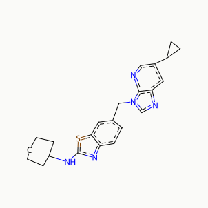 c1cc2nc(NC3CCCCC3)sc2cc1Cn1cnc2cc(C3CC3)cnc21